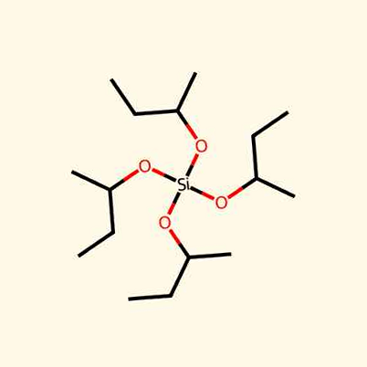 CCC(C)O[Si](OC(C)CC)(OC(C)CC)OC(C)CC